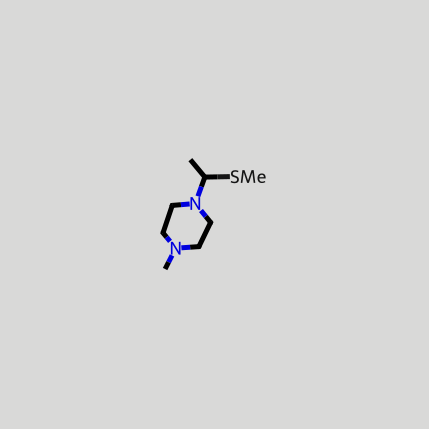 CSC(C)N1CCN(C)CC1